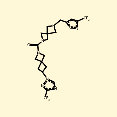 O=C(N1CC2(CC(n3cnc(C(F)(F)F)n3)C2)C1)N1CC2(CN(Cc3cc(C(F)(F)F)ns3)C2)C1